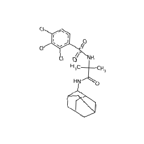 CC(C)(NS(=O)(=O)c1ccc(Cl)c(Cl)c1Cl)C(=O)NC1C2CC3CC(C2)CC1C3